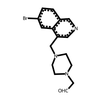 O=CCN1CCN(Cc2cncc3ccc(Br)cc23)CC1